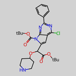 CC(C)(C)OC(=O)C(OC1CCNCC1)c1cc2c(Cl)nc(-c3ccccc3)nc2n1C(=O)OC(C)(C)C